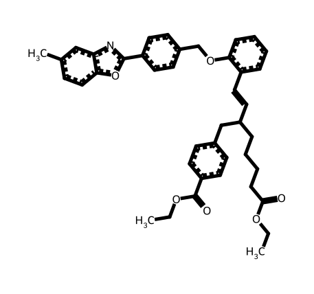 CCOC(=O)CCCCC(/C=C/c1ccccc1OCc1ccc(-c2nc3cc(C)ccc3o2)cc1)Cc1ccc(C(=O)OCC)cc1